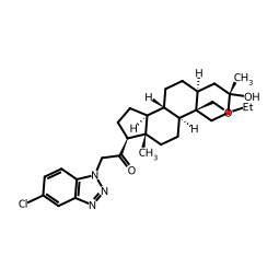 CCOC[C@]12CC[C@@](C)(O)C[C@@H]1CC[C@H]1[C@@H]3CC[C@H](C(=O)Cn4nnc5cc(Cl)ccc54)[C@@]3(C)CC[C@@H]12